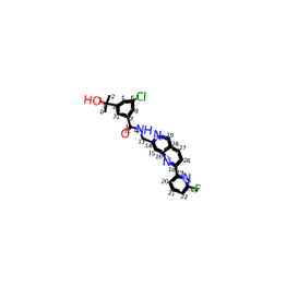 CC(C)(O)c1cc(Cl)cc(C(=O)NCc2cc3nc(-c4cccc(F)n4)ccc3cn2)c1